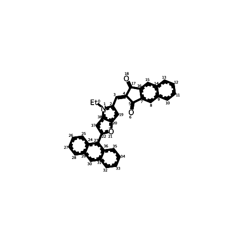 CCn1c(C=C2C(=O)c3cc4ccccc4cc3C2=O)cc2oc(-c3c4ccccc4cc4ccccc34)cc21